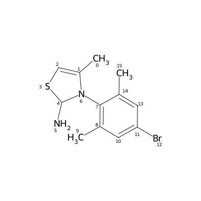 CC1=CSC(N)N1c1c(C)cc(Br)cc1C